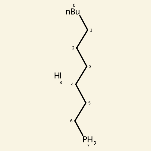 CCCCCCCCCCP.I